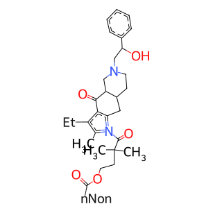 CCCCCCCCCC(=O)OCCC(C)(C)C(=O)n1c(C)c(CC)c2c1CC1CCN(CC(O)c3ccccc3)CC1C2=O